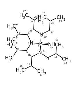 CC(C)CN(CC(C)C)P(=N)(N(CC(C)C)CC(C)C)N(CC(C)C)CC(C)C